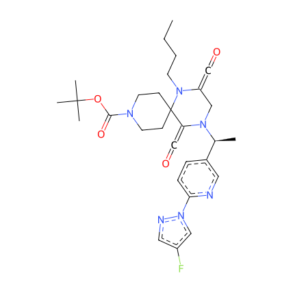 CCCCN1C(=C=O)CN([C@@H](C)c2ccc(-n3cc(F)cn3)nc2)C(=C=O)C12CCN(C(=O)OC(C)(C)C)CC2